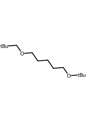 CC(C)(C)COCCCCCOC(C)(C)C